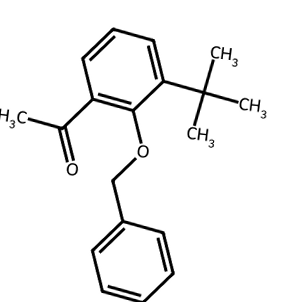 CC(=O)c1cccc(C(C)(C)C)c1OCc1ccccc1